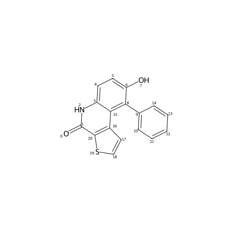 O=c1[nH]c2ccc(O)c(-c3ccccc3)c2c2ccsc12